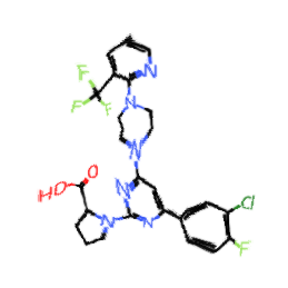 O=C(O)[C@@H]1CCCN1c1nc(-c2ccc(F)c(Cl)c2)cc(N2CCN(c3ncccc3C(F)(F)F)CC2)n1